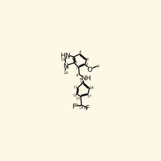 COc1ccc2c(c1CNc1ccc(C(F)F)cc1)N(C)CN2